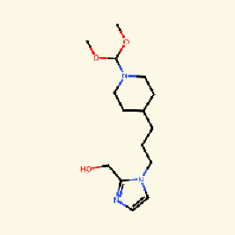 COC(OC)N1CCC(CCCn2ccnc2CO)CC1